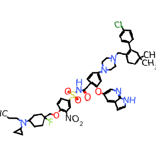 CC1(C)CCC(CN2CCN(c3ccc(C(=O)NS(=O)(=O)c4ccc(OCC5(F)CCC(N(CCC#N)C6CC6)CC5)c([N+](=O)[O-])c4)c(Oc4cnc5[nH]ccc5c4)c3)CC2)=C(c2ccc(Cl)cc2)C1